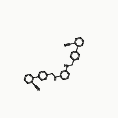 N#Cc1ccccc1-c1ccc(CNc2cccc(NCc3ccc(-c4ccccc4C#N)cc3)c2)cc1